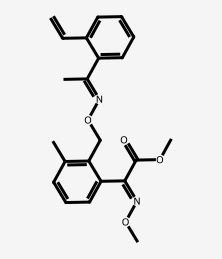 C=Cc1ccccc1/C(C)=N/OCc1c(C)cccc1/C(=N\OC)C(=O)OC